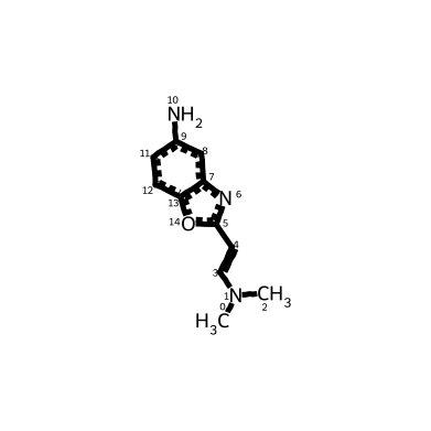 CN(C)/C=C/c1nc2cc(N)ccc2o1